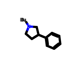 CCC(C)N1CCC(c2ccccc2)C1